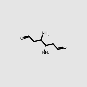 NC(CC=O)[C@@H](N)CC=O